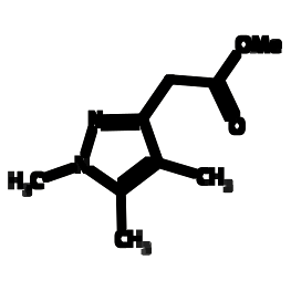 COC(=O)Cc1nn(C)c(C)c1C